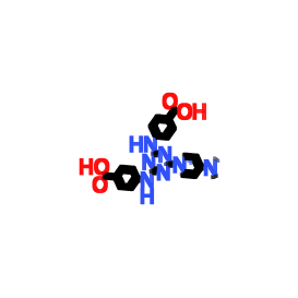 CN(C)c1cc[n+](-c2nc(Nc3ccc(C(=O)O)cc3)nc(Nc3ccc(C(=O)O)cc3)n2)cc1